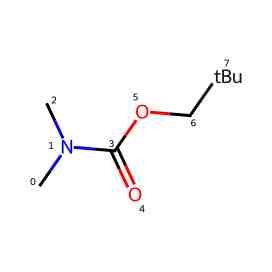 CN(C)C(=O)OCC(C)(C)C